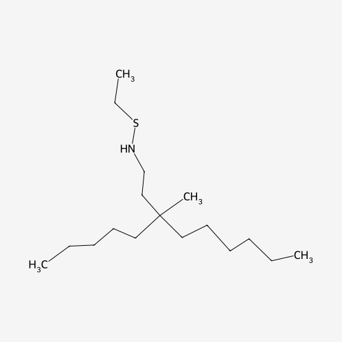 CCCCCCC(C)(CCCCC)CCNSCC